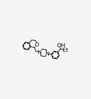 CCC(O)c1cccc(N2CCN(CC3OCCc4ccccc43)CC2)c1